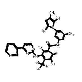 [2H]c1c([2H])c(C([2H])([2H])[2H])c(Nc2nccc(-c3cccnc3)n2)c([2H])c1C(=O)Nc1cc(C)cc(-n2c([2H])cc(C)c2[2H])c1